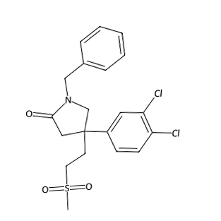 CS(=O)(=O)CCC1(c2ccc(Cl)c(Cl)c2)CC(=O)N(Cc2ccccc2)C1